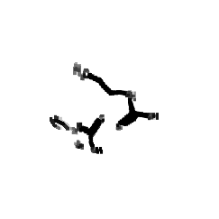 CCCNC(O)=S.NC(O)=S.[Se]